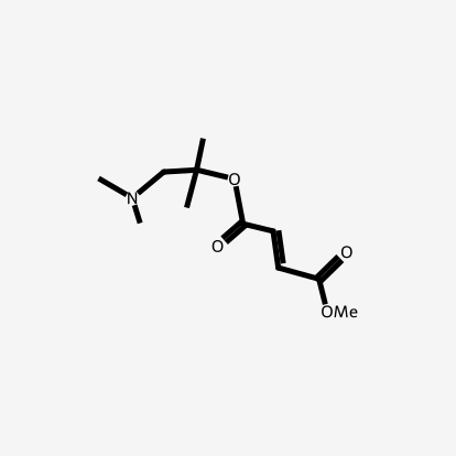 COC(=O)/C=C/C(=O)OC(C)(C)CN(C)C